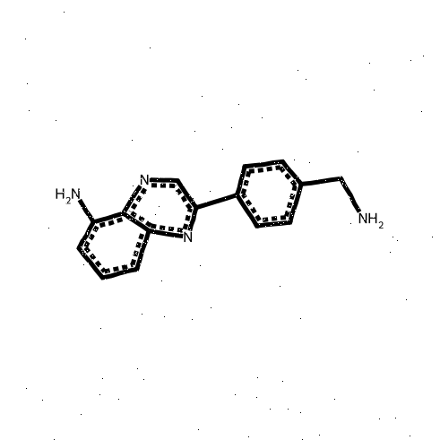 NCc1ccc(-c2cnc3c(N)cccc3n2)cc1